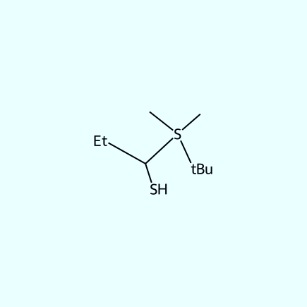 CCC(S)S(C)(C)C(C)(C)C